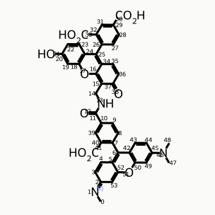 C/N=c1/ccc2c(-c3ccc(C(=O)NCc4c5oc6cc(O)ccc6c(-c6ccc(C(=O)O)cc6C(=O)O)c-5ccc4=O)cc3C(=O)O)c3ccc(N(C)C)cc3oc-2c1